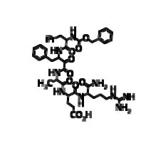 CC(C)CC(NC(=O)OCc1ccccc1)C(=O)NC(Cc1ccccc1)C(=O)C(=O)NC(C)C(=O)NC(CCC(=O)O)C(=O)NC(CCCNC(=N)N)C(N)=O